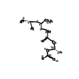 CCC[C@@H](CC)CC(CNC(=O)O[C@@H](OC(=O)CC)C(C)C)C(=O)O